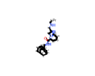 CC(C)CNCc1cn2c(C(=O)NCC34CC5CC(CC(C5)C3)C4)cccc2n1